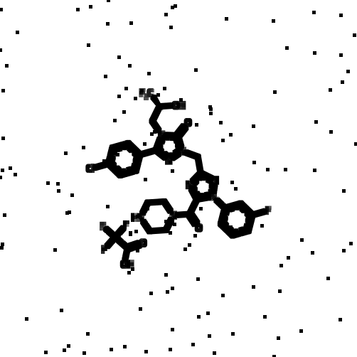 O=C(O)C(F)(F)F.O=C(c1nc(Cn2nc(-c3ccc(Cl)cc3)n(C[C@H](O)C(F)(F)F)c2=O)nn1-c1cccc(F)c1)N1CCNCC1